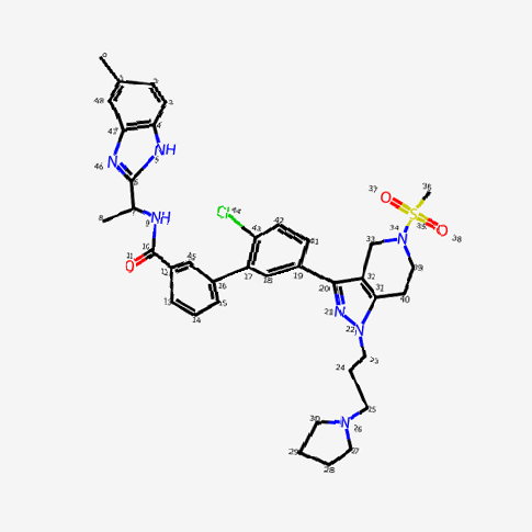 Cc1ccc2[nH]c(C(C)NC(=O)c3cccc(-c4cc(-c5nn(CCCN6CCCC6)c6c5CN(S(C)(=O)=O)CC6)ccc4Cl)c3)nc2c1